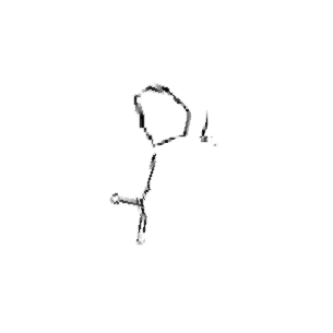 C1CCCCC1.CC[N+](=O)[O-].C[N+](=O)[O-]